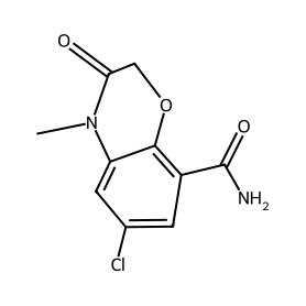 CN1C(=O)COc2c(C(N)=O)cc(Cl)cc21